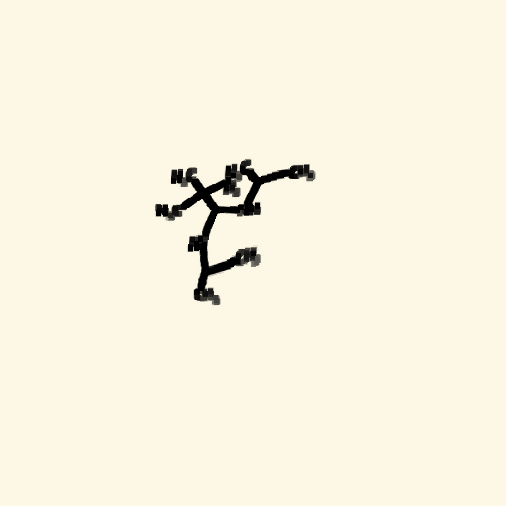 CC(C)NC(NC(C)C)C(C)(C)C